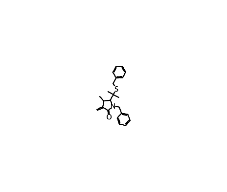 C=C1C(=O)N(Cc2ccccc2)C(C(C)(C)SCc2ccccc2)C1C